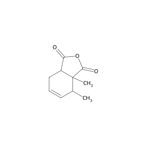 CC1C=CCC2C(=O)OC(=O)C12C